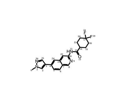 Cn1cc(-c2ccc3cnc(NC(=O)C4CCC(F)(F)CC4)cc3c2)cn1